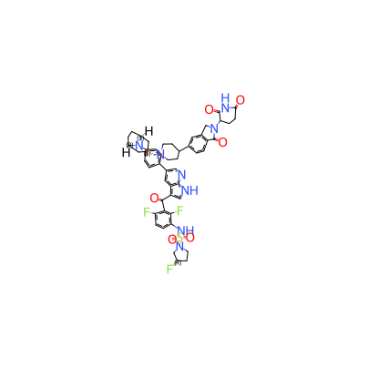 O=C1CCC(N2Cc3cc(C4CCN(C[C@@H]5C[C@H]6CC[C@@H](C5)N6c5ccc(-c6cnc7[nH]cc(C(=O)c8c(F)ccc(NS(=O)(=O)N9CC[C@@H](F)C9)c8F)c7c6)cc5)CC4)ccc3C2=O)C(=O)N1